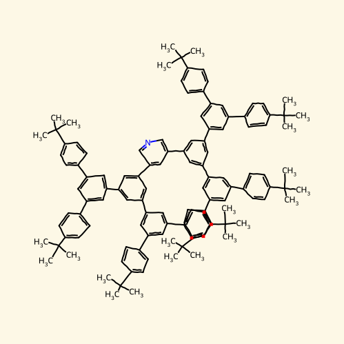 CC(C)(C)c1ccc(-c2cc(-c3ccc(C(C)(C)C)cc3)cc(-c3cc(-c4cncc(-c5cc(-c6cc(-c7ccc(C(C)(C)C)cc7)cc(-c7ccc(C(C)(C)C)cc7)c6)cc(-c6cc(-c7ccc(C(C)(C)C)cc7)cc(-c7ccc(C(C)(C)C)cc7)c6)c5)c4)cc(-c4cc(-c5ccc(C(C)(C)C)cc5)cc(-c5ccc(C(C)(C)C)cc5)c4)c3)c2)cc1